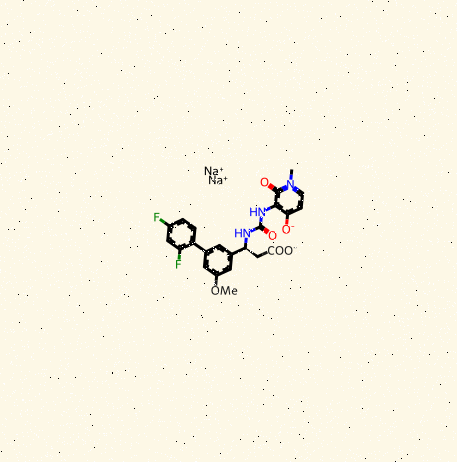 COc1cc(-c2ccc(F)cc2F)cc([C@H](CC(=O)[O-])NC(=O)Nc2c([O-])ccn(C)c2=O)c1.[Na+].[Na+]